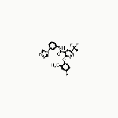 Cc1cc(F)ccc1Oc1nnc(C(F)(F)F)cc1C(=O)Nc1cccc(-n2cnnc2)c1